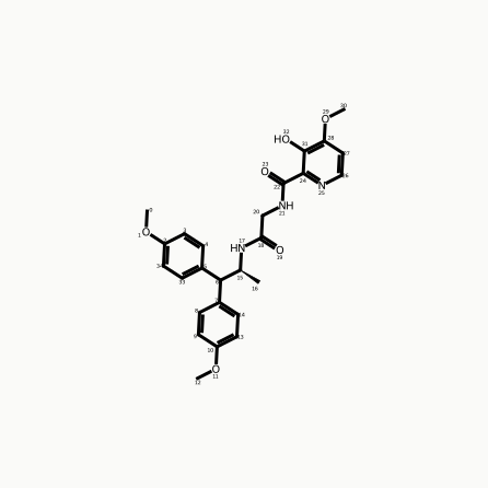 COc1ccc(C(c2ccc(OC)cc2)[C@H](C)NC(=O)CNC(=O)c2nccc(OC)c2O)cc1